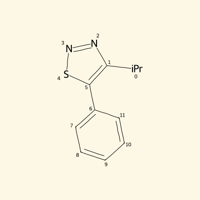 CC(C)c1nnsc1-c1ccccc1